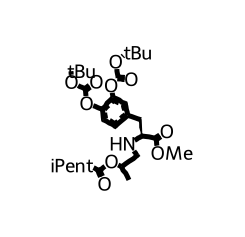 CCCC(C)C(=O)OC(C)CN[C@@H](Cc1ccc(OC(=O)OC(C)(C)C)c(OC(=O)OC(C)(C)C)c1)C(=O)OC